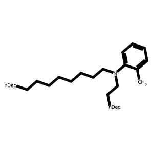 CCCCCCCCCCCCCCCCCCN(CCCCCCCCCCCC)c1ccccc1C